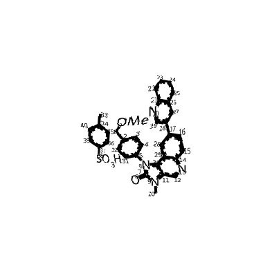 COCc1ccc(-n2c(=O)n(C)c3cnc4ccc(-c5cnc6ccccc6c5)cc4c32)cc1.Cc1ccc(S(=O)(=O)O)cc1